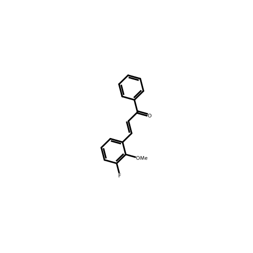 COc1c(F)cccc1/C=C/C(=O)c1ccccc1